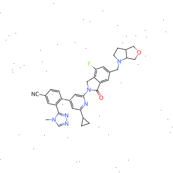 Cn1cnnc1-c1cc(C#N)ccc1-c1cc(C2CC2)nc(N2Cc3c(F)cc(CN4CCC5COCC54)cc3C2=O)c1